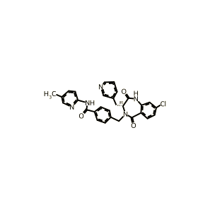 Cc1ccc(NC(=O)c2ccc(CN3C(=O)c4ccc(Cl)cc4NC(=O)[C@H]3Cc3cccnc3)cc2)nc1